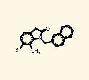 Cc1c(Br)ccc2c1N(Cc1ccc3ccccc3c1)C(=O)C2